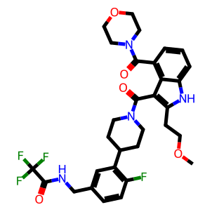 COCCc1[nH]c2cccc(C(=O)N3CCOCC3)c2c1C(=O)N1CCC(c2cc(CNC(=O)C(F)(F)F)ccc2F)CC1